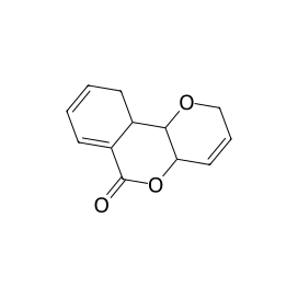 O=C1OC2C=CCOC2C2CC=CC=C12